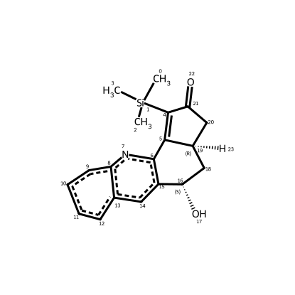 C[Si](C)(C)C1=C2c3nc4ccccc4cc3[C@@H](O)C[C@@H]2CC1=O